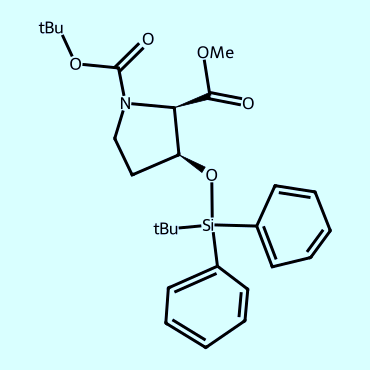 COC(=O)[C@H]1[C@@H](O[Si](c2ccccc2)(c2ccccc2)C(C)(C)C)CCN1C(=O)OC(C)(C)C